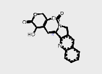 CC1=C(/C=C2/c3nc4ccccc4cc3CN2C=O)C(O)C(=O)OC1